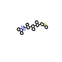 c1ccc2c(c1)sc1ccc(-c3ccc(-c4ccc(-c5ccc(-c6cnc7c8ccccc8c8ccccc8c7n6)c6ccccc56)c5ccccc45)c4ccccc34)cc12